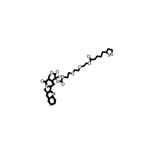 CCC1(OC(=O)OCCOCCOCCOC(=O)CCCCC2CCSS2)C(=O)OCc2c1cc1n(c2=O)Cc2cc3ccccc3nc2-1